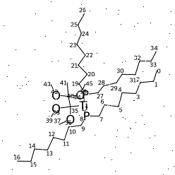 CCCCCCCC[P](CCCCCCCC)[Ti]([P](CCCCCCCC)CCCCCCCC)[C](OC)(OC)C(C)(OC)OC